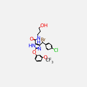 O=C(NCCCO)c1[nH]c(Oc2cccc(OC(F)(F)F)c2)nc1C(Br)c1ccc(Cl)cc1